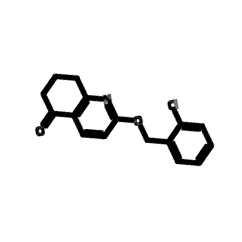 O=C1CCCc2nc(OCc3ccccc3Cl)ccc21